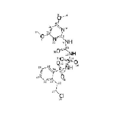 COc1cc(OC)nc(NC(=O)NS(=O)(=O)NS(=O)(=O)c2ccccc2CCCl)n1